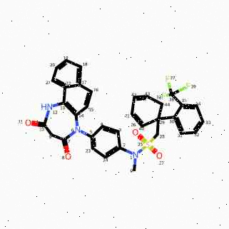 CN(c1ccc(N2C(=O)CC(=O)Nc3c2ccc2ccccc32)cc1)S(=O)(=O)CC1(c2ccccc2C(F)(F)F)C=CC=CC1